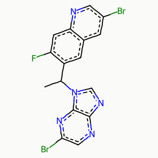 CC(c1cc2cc(Br)cnc2cc1F)n1cnc2ncc(Br)nc21